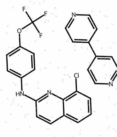 FC(F)(F)Oc1ccc(Nc2ccc3cccc(Cl)c3n2)cc1.c1cc(-c2ccncc2)ccn1